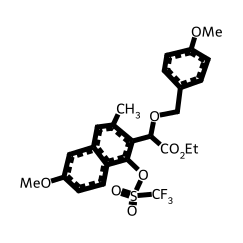 CCOC(=O)C(OCc1ccc(OC)cc1)c1c(C)cc2cc(OC)ccc2c1OS(=O)(=O)C(F)(F)F